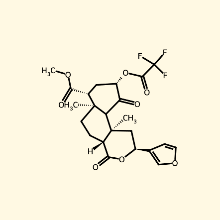 COC(=O)[C@@H]1C[C@H](OC(=O)C(F)(F)F)C(=O)C2[C@@]1(C)CC[C@H]1C(=O)O[C@H](c3ccoc3)C[C@]21C